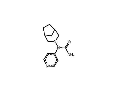 NC(=O)N(c1ccncc1)N1CC2CCC(C2)C1